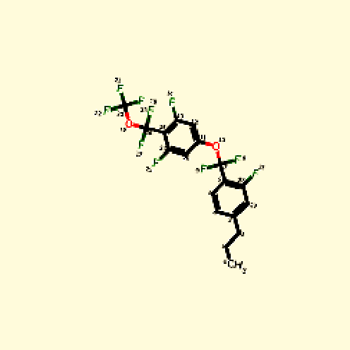 CCCc1ccc(C(F)(F)Oc2cc(F)c(C(F)(F)OC(F)(F)F)c(F)c2)c(F)c1